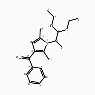 CCOC(OCC)C(C)n1c(C)cc(C(=O)c2ccccc2)c1C